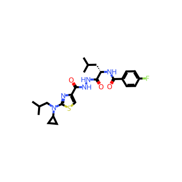 CC(C)C[C@H](NC(=O)c1ccc(F)cc1)C(=O)NNC(=O)c1csc(N(CC(C)C)C2CC2)n1